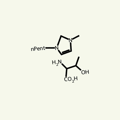 CC(O)C(N)C(=O)O.CCCCCN1C=CN(C)C1